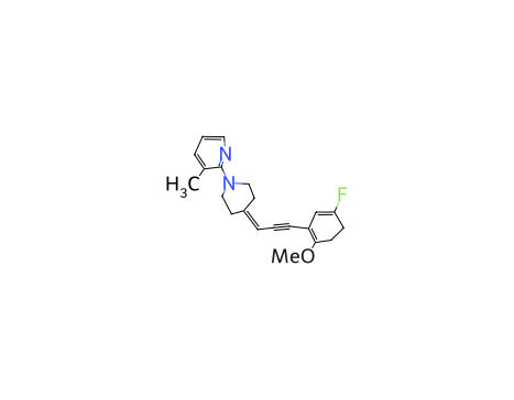 COC1=C(C#CC=C2CCN(c3ncccc3C)CC2)C=C(F)CC1